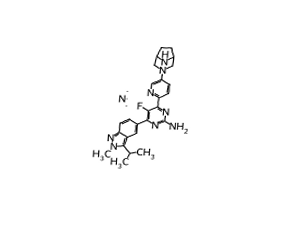 CC(C)c1c2cc(-c3nc(N)nc(-c4ccc(N5CC6CCC(C5)N6)cn4)c3F)ccc2nn1C.[N]